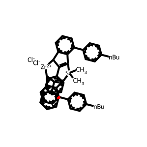 CCCCc1ccc(-c2cccc3c2C2=C(c4ccccc4)[CH]3[Zr+2][CH]3C(c4ccccc4)=C(c4c(-c5ccc(CCCC)cc5)cccc43)[Si]2(C)C)cc1.[Cl-].[Cl-]